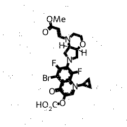 COC(=O)C=CN1CCO[C@H]2CN(c3c(F)c(Br)c4c(=O)c(OC(=O)O)cn(C5CC5)c4c3F)C[C@H]21